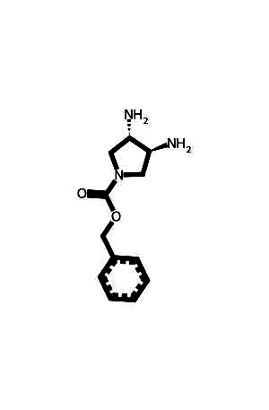 N[C@H]1CN(C(=O)OCc2ccccc2)C[C@@H]1N